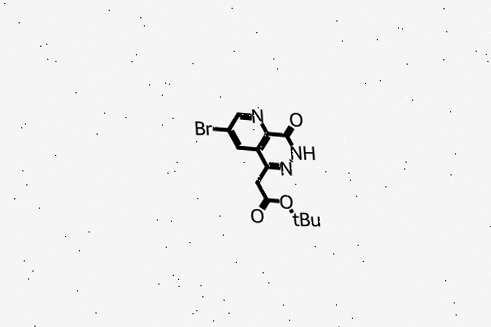 CC(C)(C)OC(=O)Cc1n[nH]c(=O)c2ncc(Br)cc12